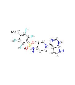 CSc1c(F)c(F)c(S(=O)(=O)NC2CCN(c3ncnc4[nH]ccc34)CC2)c(F)c1F